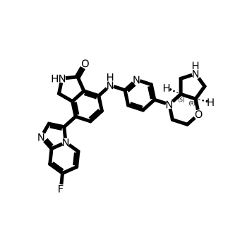 O=C1NCc2c(-c3cnc4cc(F)ccn34)ccc(Nc3ccc(N4CCO[C@@H]5CNC[C@@H]54)cn3)c21